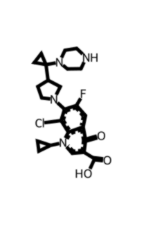 O=C(O)c1cn(C2CC2)c2c(Cl)c(N3CCC(C4(N5CCNCC5)CC4)C3)c(F)cc2c1=O